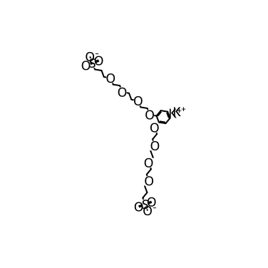 O=S(=O)([O-])CCCOCCOCCOCCOc1ccccc1OCCOCCOCCOCCCS(=O)(=O)[O-].[K+].[K+]